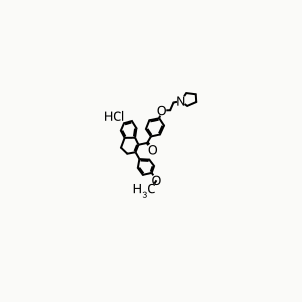 COc1ccc(C2=C(C(=O)c3ccc(OCCN4CCCC4)cc3)c3ccccc3CC2)cc1.Cl